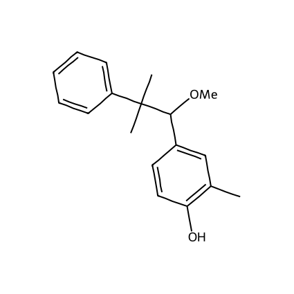 COC(c1ccc(O)c(C)c1)C(C)(C)c1ccccc1